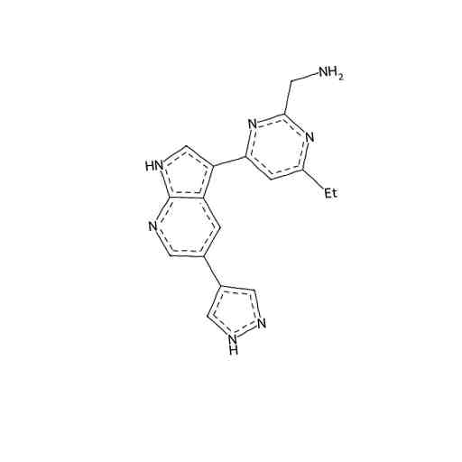 CCc1cc(-c2c[nH]c3ncc(-c4cn[nH]c4)cc23)nc(CN)n1